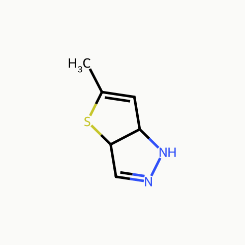 CC1=CC2NN=CC2S1